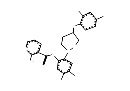 COc1ncccc1C(=O)Nc1cc(C#N)c(C#N)cc1N1CCC(Oc2ccc(F)cc2F)CC1